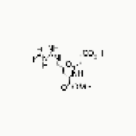 COC(=O)[C@H](CCCNC(=N)NPI)NC(=O)CCC(=O)O